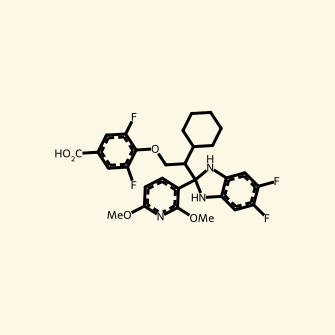 COc1ccc(C2(C(COc3c(F)cc(C(=O)O)cc3F)C3CCCCC3)Nc3cc(F)c(F)cc3N2)c(OC)n1